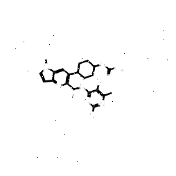 Cc1nc(N)nc(N[C@@H](C)c2nc3ccn(C)c3cc2C2CCC(NC(=O)OC(C)(C)C)CC2)c1C#N